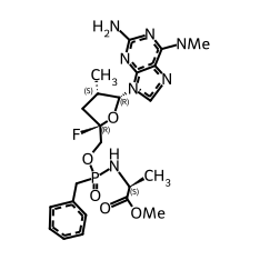 CNc1nc(N)nc2c1ncn2[C@@H]1O[C@](F)(COP(=O)(Cc2ccccc2)N[C@@H](C)C(=O)OC)C[C@@H]1C